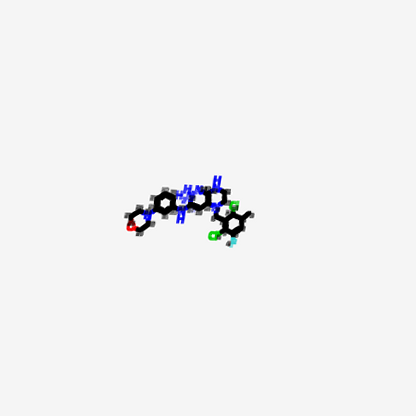 CC1C=C(F)C(Cl)=C(CN2CCNC(N)=C2/C=C(\N)Nc2cccc(N3CCOCC3)c2)C1Cl